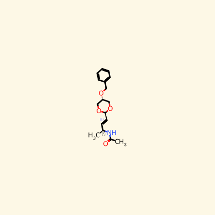 CC(=O)N[C@@H](C)/C=C/[C@H]1OC[C@H](OCc2ccccc2)CO1